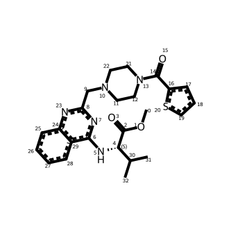 COC(=O)[C@@H](Nc1nc(CN2CCN(C(=O)c3cccs3)CC2)nc2ccccc12)C(C)C